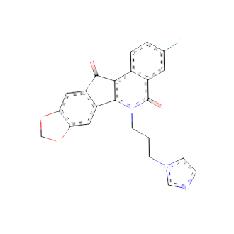 O=C1c2cc3c(cc2-c2c1c1ccc(F)cc1c(=O)n2CCCn1ccnc1)OCO3